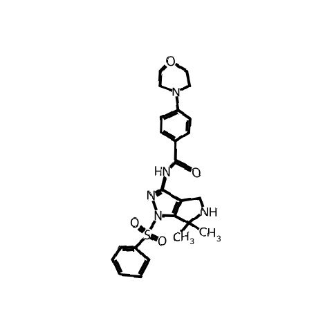 CC1(C)NCc2c(NC(=O)c3ccc(N4CCOCC4)cc3)nn(S(=O)(=O)c3ccccc3)c21